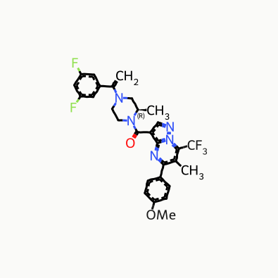 C=C(c1cc(F)cc(F)c1)N1CCN(C(=O)c2cnn3c(C(F)(F)F)c(C)c(-c4ccc(OC)cc4)nc23)[C@H](C)C1